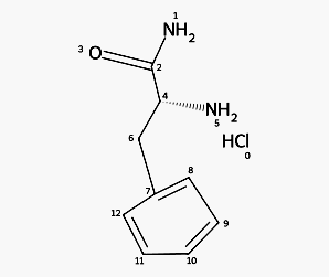 Cl.NC(=O)[C@H](N)Cc1ccccc1